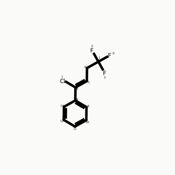 FC(F)(F)CC=C(Cl)c1ccccc1